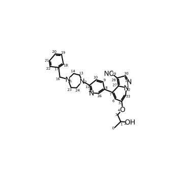 CC(O)COc1cc(-c2ccc(N3CCN(Cc4ccccc4)CC3)nc2)c2c(C#N)cnn2c1